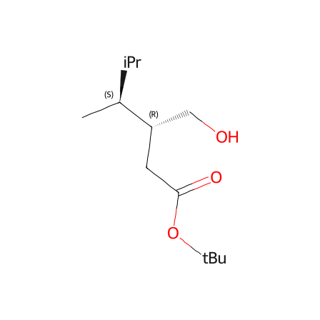 CC(C)[C@H](C)[C@H](CO)CC(=O)OC(C)(C)C